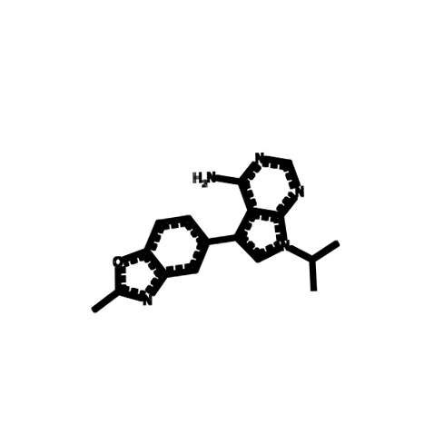 Cc1nc2cc(-c3cn(C(C)C)c4ncnc(N)c34)ccc2o1